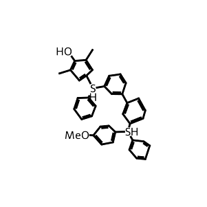 COc1ccc([SH](c2ccccc2)c2cccc(-c3cccc([SH](c4ccccc4)c4cc(C)c(O)c(C)c4)c3)c2)cc1